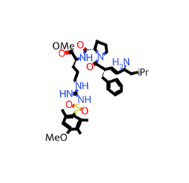 COC(=O)[C@H](CCCNC(=N)NS(=O)(=O)c1c(C)cc(OC)c(C)c1C)NC(=O)[C@@H]1CCCN1C(=O)[C@H](/C=C/[C@@H](N)CC(C)C)Cc1ccccc1